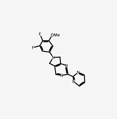 COc1cc(N2Cc3cnc(-c4ncccn4)nc3C2)cc(F)c1F